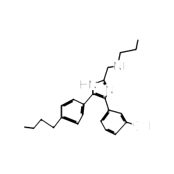 CCCCc1ccc(-c2[nH]c(CNCCC)nc2-c2cccc(O)c2)cc1